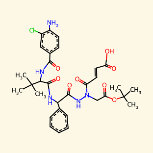 CC(C)(C)OC(=O)CN(NC(=O)C(NC(=O)C(NC(=O)c1ccc(N)c(Cl)c1)C(C)(C)C)c1ccccc1)C(=O)/C=C/C(=O)O